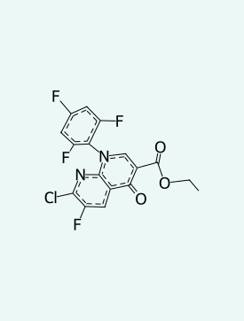 CCOC(=O)c1cn(-c2c(F)cc(F)cc2F)c2nc(Cl)c(F)cc2c1=O